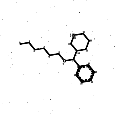 CCCCCCOC(c1ccccc1)C1CCCNC1